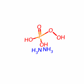 N.N.O=P(O)(O)OO